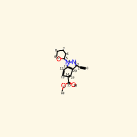 C#Cc1nn(C2CCCCO2)c2ccc(C(=O)OC)cc12